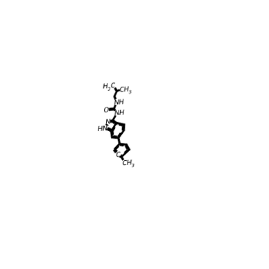 Cc1ccc(-c2ccc3c(NC(=O)NCC(C)C)n[nH]c3c2)cc1